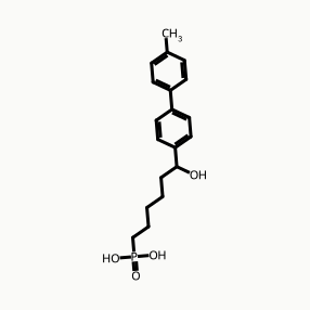 Cc1ccc(-c2ccc(C(O)CCCCCP(=O)(O)O)cc2)cc1